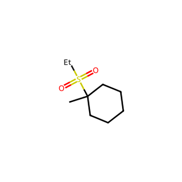 CCS(=O)(=O)C1(C)CCCCC1